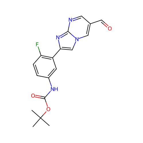 CC(C)(C)OC(=O)Nc1ccc(F)c(-c2cn3cc(C=O)cnc3n2)c1